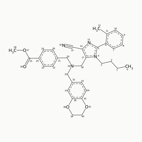 CCCCn1c(-c2ccccc2C)nc(C#N)c1CN(Cc1ccc(C(=O)OC)cc1)Cc1ccc2c(c1)OCCO2